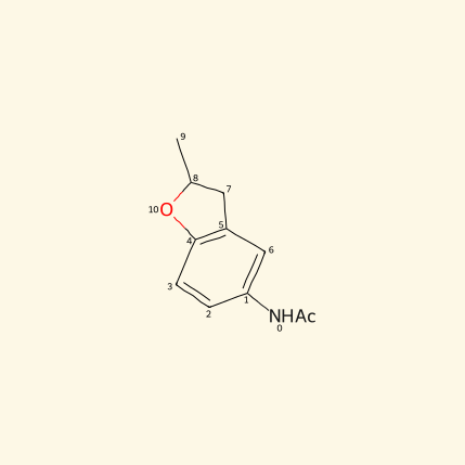 CC(=O)Nc1ccc2c(c1)CC(C)O2